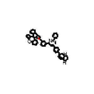 C1=CC2c3ccccc3C3(c4ccccc4Oc4ccccc43)C2C=C1c1cccc(-c2cc(-c3ccc(C45CCC6[C@@H](CC[C@H]6C4)C5)cc3)nc(-c3ccccc3)n2)c1